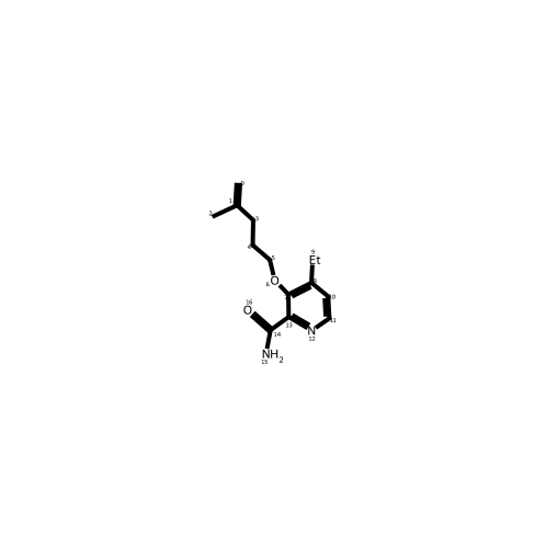 C=C(C)CCCOc1c(CC)ccnc1C(N)=O